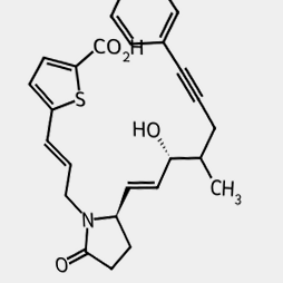 CC(CC#Cc1ccccc1)[C@@H](O)C=C[C@H]1CCC(=O)N1CC=Cc1ccc(C(=O)O)s1